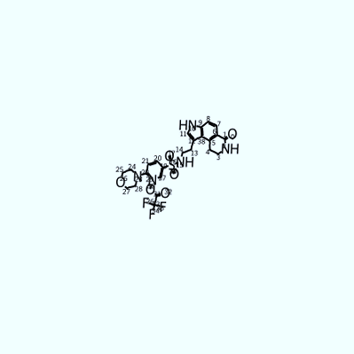 O=C1NCCc2c1ccc1[nH]cc(CCNS(=O)(=O)c3ccc(N4CCOCC4)[n+](OC(=O)C(F)(F)F)c3)c21